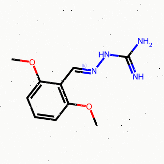 COc1cccc(OC)c1/C=N/NC(=N)N